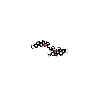 C=C[C@]1(OC(=O)CCCC(=O)OC(=O)[C@@]2(O)CCC3C4CCC5=CC(=O)C=C[C@]5(C)C4C(=O)C[C@@]32C)CCC2C3CCC4=CC(=O)CCC4C3CC[C@@]21CC